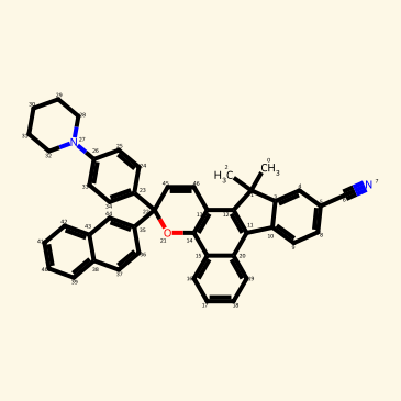 CC1(C)c2cc(C#N)ccc2-c2c1c1c(c3ccccc23)OC(c2ccc(N3CCCCC3)cc2)(c2ccc3ccccc3c2)C=C1